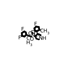 Cc1cc(F)ccc1[C@H]1CNCC[C@@H]1N(C)C(=O)C(C)(C)c1cc(F)cc(F)c1